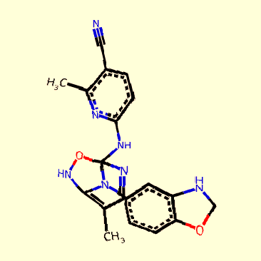 CC1=C2NOC(Nc3ccc(C#N)c(C)n3)(N=C1)N2c1ccc2c(c1)NCO2